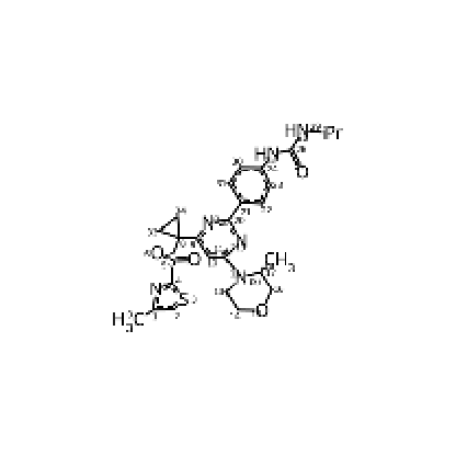 Cc1csc(S(=O)(=O)C2(c3cc(N4CCOC[C@@H]4C)nc(-c4ccc(NC(=O)NC(C)C)cc4)n3)CC2)n1